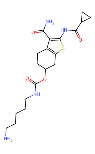 NCCCCCNC(=O)OC1CCc2c(sc(NC(=O)C3CC3)c2C(N)=O)C1